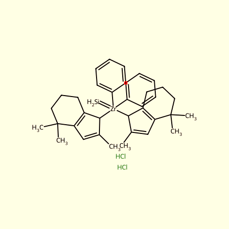 CC1=CC2=C(CCCC2(C)C)[CH]1[Zr](=[SiH2])([c]1ccccc1)([c]1ccccc1)[CH]1C(C)=CC2=C1CCCC2(C)C.Cl.Cl